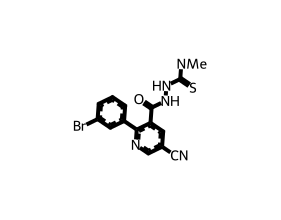 CNC(=S)NNC(=O)c1cc(C#N)cnc1-c1cccc(Br)c1